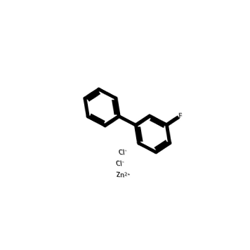 Fc1cccc(-c2ccccc2)c1.[Cl-].[Cl-].[Zn+2]